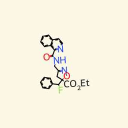 CCOC(=O)C1(C(F)c2ccccc2)CC(CNC(=O)c2nccc3ccccc23)=NO1